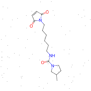 CC1CCN(C(=O)NCCCCCCN2C(=O)C=CC2=O)C1